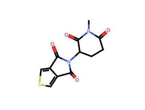 CN1C(=O)CCC(N2C(=O)c3cscc3C2=O)C1=O